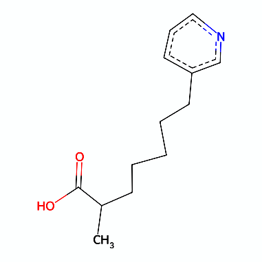 CC(CCCCCc1cccnc1)C(=O)O